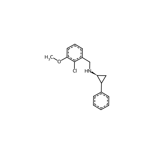 COc1cccc(CN[C@H]2CC2c2ccccc2)c1Cl